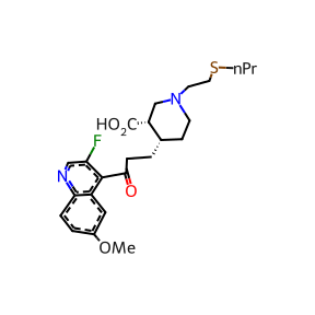 CCCSCCN1CC[C@H](CCC(=O)c2c(F)cnc3ccc(OC)cc23)[C@H](C(=O)O)C1